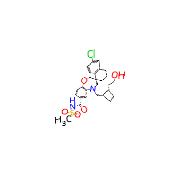 CS(=O)(=O)NC(=O)c1ccc2c(c1)N(C[C@@H]1CC[C@H]1CCO)C[C@@]1(CCCc3cc(Cl)ccc31)CO2